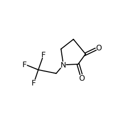 O=C1CCN(CC(F)(F)F)C1=O